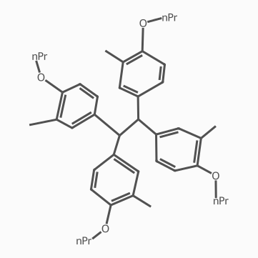 CCCOc1ccc(C(c2ccc(OCCC)c(C)c2)C(c2ccc(OCCC)c(C)c2)c2ccc(OCCC)c(C)c2)cc1C